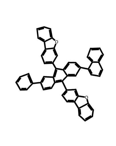 c1ccc(-c2ccc3c(-c4ccc5c(c4)oc4ccccc45)c4cc(-c5cccc6ccccc56)ccc4c(-c4ccc5c(c4)oc4ccccc45)c3c2)cc1